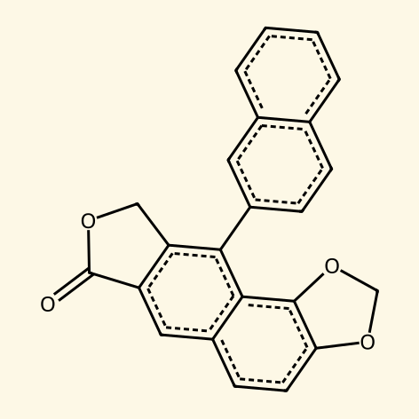 O=C1OCc2c1cc1ccc3c(c1c2-c1ccc2ccccc2c1)OCO3